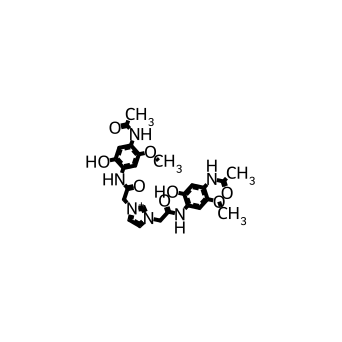 COc1cc(NC(=O)Cn2cc[n+](CC(=O)Nc3cc(OC)c(NC(C)=O)cc3O)c2)c(O)cc1NC(C)=O